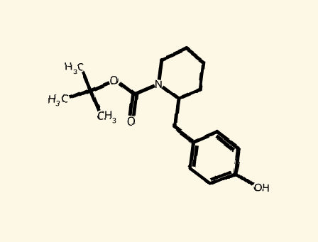 CC(C)(C)OC(=O)N1CCCCC1Cc1ccc(O)cc1